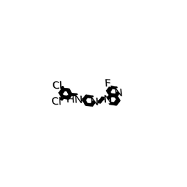 Fc1cnc2c(c1)N(CCN1CCC(NCc3cc(Cl)cc(Cl)c3)CC1)CC=C2